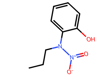 CCCN(c1ccccc1O)[N+](=O)[O-]